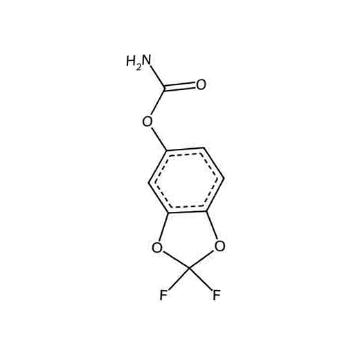 NC(=O)Oc1ccc2c(c1)OC(F)(F)O2